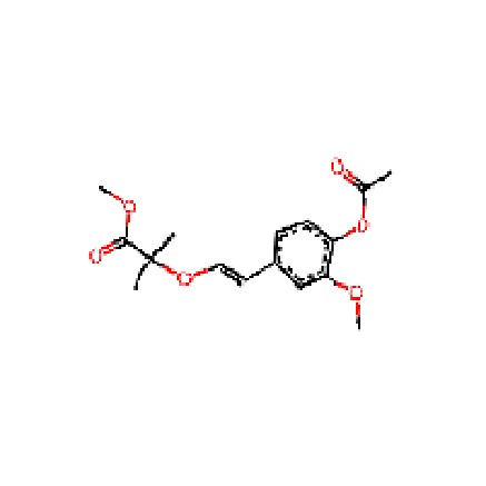 COC(=O)C(C)(C)OC=Cc1ccc(OC(C)=O)c(OC)c1